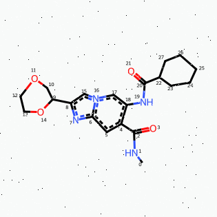 CNC(=O)c1cc2nc(C3COCCO3)cn2cc1NC(=O)C1CCCCC1